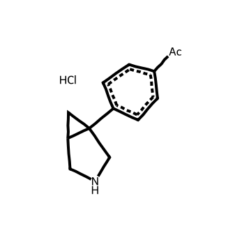 CC(=O)c1ccc(C23CNCC2C3)cc1.Cl